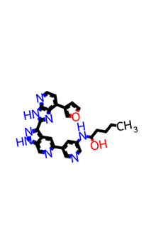 CCCCC(O)Nc1cncc(-c2cc3c(-c4nc5c(-c6ccoc6)ccnc5[nH]4)n[nH]c3cn2)c1